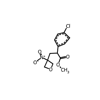 COC(=O)C(CC1([N+](=O)[O-])COC1)c1ccc(Cl)cc1